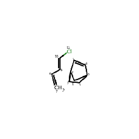 C1=CC2CCC1C2.C=CC=CCl